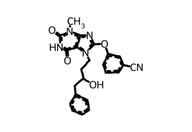 Cn1c(=O)[nH]c(=O)c2c1nc(Oc1cccc(C#N)c1)n2CCC(O)Cc1ccccc1